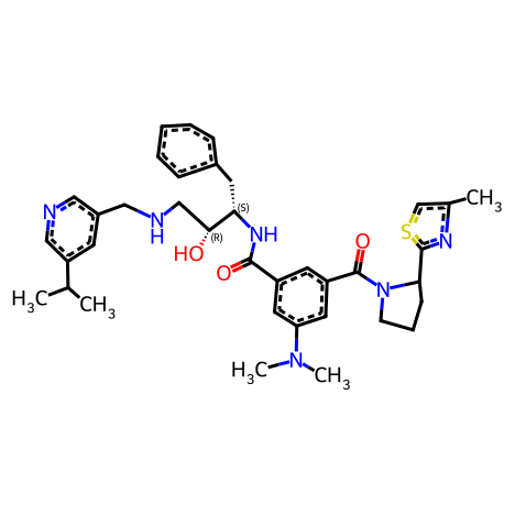 Cc1csc(C2CCCN2C(=O)c2cc(C(=O)N[C@@H](Cc3ccccc3)[C@H](O)CNCc3cncc(C(C)C)c3)cc(N(C)C)c2)n1